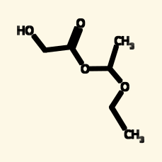 CCOC(C)OC(=O)CO